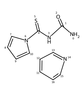 NC(=O)NC(=S)n1cccc1.c1ccncc1